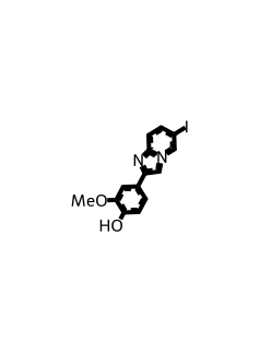 COc1cc(-c2cn3cc(I)ccc3n2)ccc1O